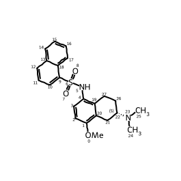 COc1ccc(NS(=O)(=O)c2cccc3ccccc23)c2c1C[C@@H](N(C)C)CC2